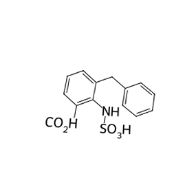 O=C(O)c1cccc(Cc2ccccc2)c1NS(=O)(=O)O